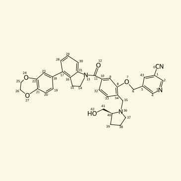 N#Cc1cncc(COc2cc(C(=O)N3CCc4c(-c5ccc6c(c5)OCCO6)cccc43)ccc2CN2CCC[C@H]2CO)c1